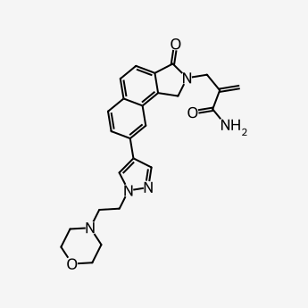 C=C(CN1Cc2c(ccc3ccc(-c4cnn(CCN5CCOCC5)c4)cc23)C1=O)C(N)=O